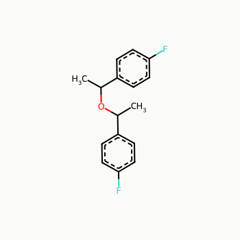 CC(OC(C)c1ccc(F)cc1)c1ccc(F)cc1